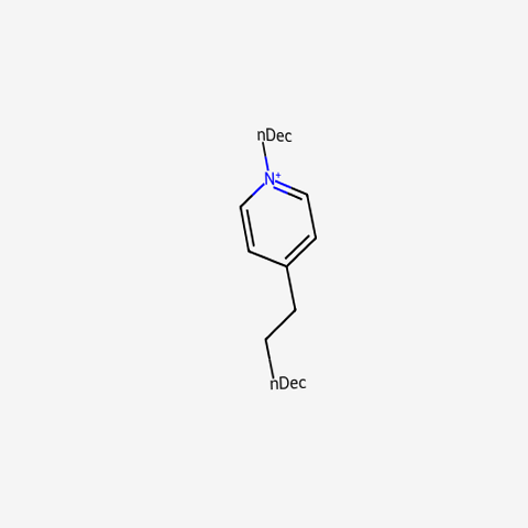 CCCCCCCCCCCCc1cc[n+](CCCCCCCCCC)cc1